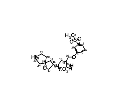 CS(=O)(=O)c1cccc(OC[C@@H](O)CN(C(=O)O)[C@@H]2COC3(CCNCC3)C2)c1